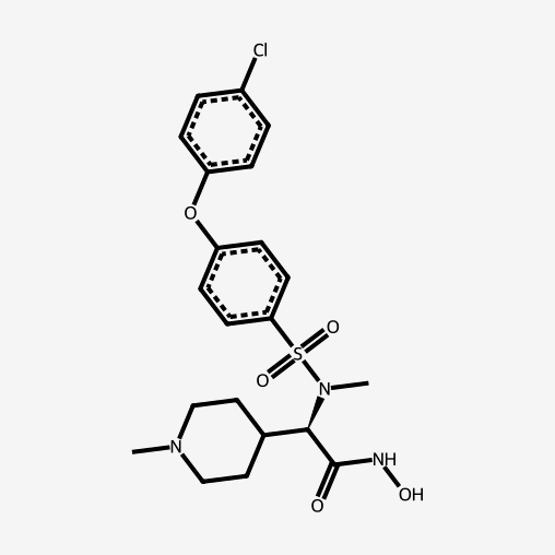 CN1CCC([C@H](C(=O)NO)N(C)S(=O)(=O)c2ccc(Oc3ccc(Cl)cc3)cc2)CC1